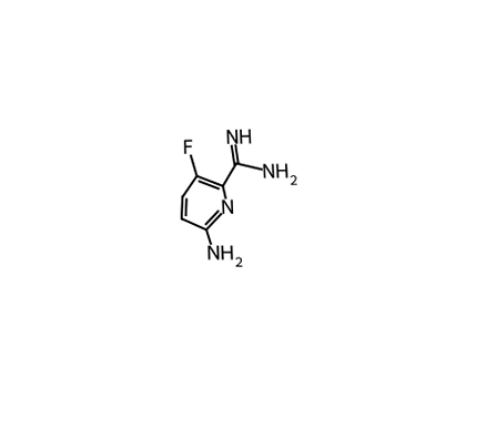 N=C(N)c1nc(N)ccc1F